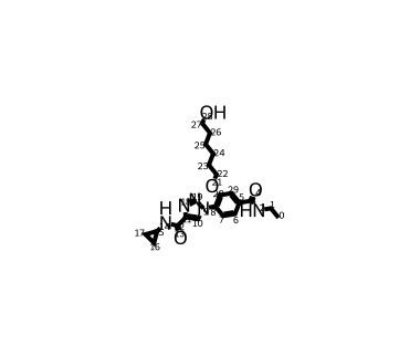 CCNC(=O)c1ccc(-n2cc(C(=O)NC3CC3)nn2)c(OCCCCCCO)c1